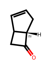 O=C1CC2C=CC[C@H]12